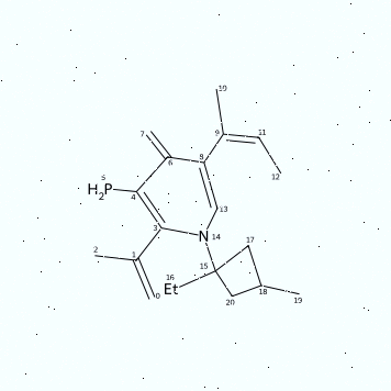 C=C(C)C1=C(P)C(=C)C(/C(C)=C\C)=CN1C1(CC)CC(C)C1